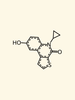 O=c1c2sccc2c2cc(O)ccc2n1C1CC1